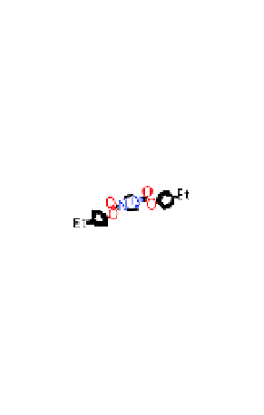 CCc1ccc(OC(=O)N2CCN(C(=O)Oc3ccc(CC)cc3)CC2)cc1